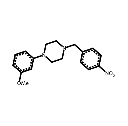 COc1cccc(N2CCN(Cc3ccc([N+](=O)[O-])cc3)CC2)c1